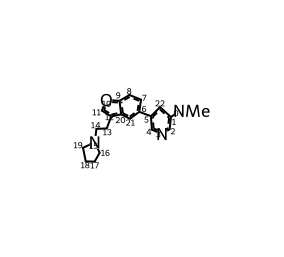 CNc1cncc(-c2ccc3occ(CCN4CCCC4)c3c2)c1